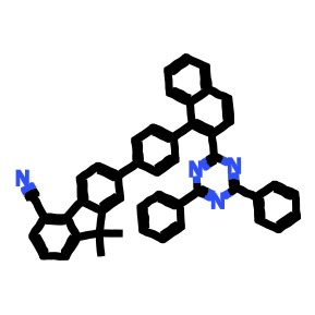 CC1(C)c2cc(-c3ccc(-c4c(-c5nc(-c6ccccc6)nc(-c6ccccc6)n5)ccc5ccccc45)cc3)ccc2-c2c(C#N)cccc21